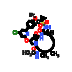 CC(C)Oc1ccc(-c2cc(Cl)cc(O[C@@H]3C[C@H]4C(=O)N[C@]5(C(=O)NS(=O)(=O)C6(C)CC6)C[C@H]5/C=C\CC[C@H](C)C[C@@H](C)[C@H](NC(=O)O)C(=O)N4C3)n2)cc1